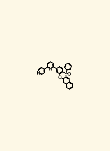 O=P1(c2ccccc2)c2ccc(-c3cccc(-c4ccncc4)n3)cc2Oc2cc3ccccc3cc21